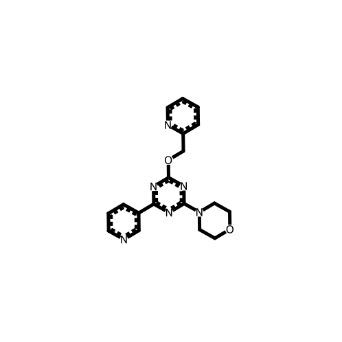 c1ccc(COc2nc(-c3cccnc3)nc(N3CCOCC3)n2)nc1